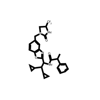 CC(C(=O)NC(c1nc2cc(CN3CC(C(F)(F)F)NC3=O)ccc2o1)C(C1CC1)C1CC1)c1ccccc1